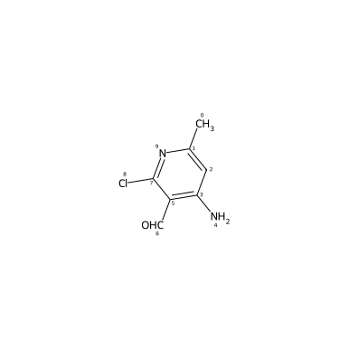 Cc1cc(N)c(C=O)c(Cl)n1